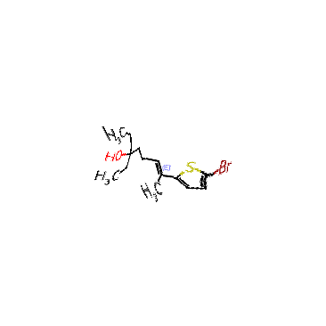 CCC(O)(CC)CC/C=C(\C)c1ccc(Br)s1